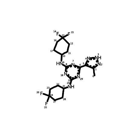 Cc1n[nH]nc1-c1nc(NC2CCC(F)(F)CC2)nc(NC2CCC(F)(F)CC2)n1